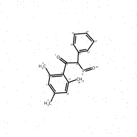 Cc1cc(C)c(C(=O)C(P=O)c2ccccc2)c(C)c1